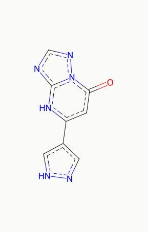 O=c1cc(-c2cn[nH]c2)[nH]c2ncnn12